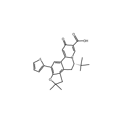 CC1(C)Cc2c3c(cc(-c4cccs4)c2O1)-c1cc(=O)c(C(=O)O)cn1[C@H](C(C)(C)C)C3